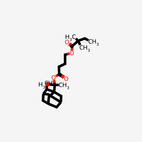 CCC(C)(C)C(=O)OCCCC(=O)OC(C)(C)C12CC3CC(CC(C3)C1C)C2